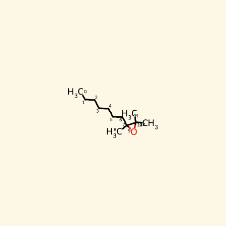 CCCCCCCC1(C)OC1(C)C